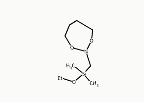 CCO[Si](C)(C)CN1OCCCCO1